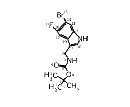 CC(C)(C)OC(=O)NCc1c[nH]c2cc(Br)c(F)cc12